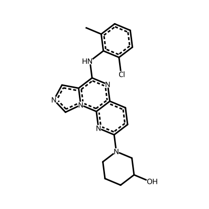 Cc1cccc(Cl)c1Nc1nc2ccc(N3CCCC(O)C3)nc2n2cncc12